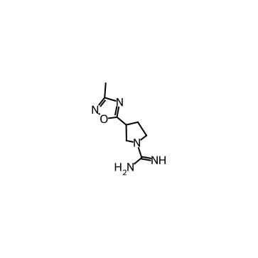 Cc1noc(C2CCN(C(=N)N)C2)n1